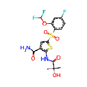 CC(C)(O)C(=O)Nc1sc(S(=O)(=O)c2ccc(F)cc2OC(F)F)cc1C(N)=O